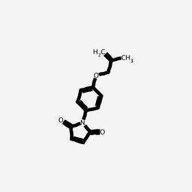 C=C(C)COc1ccc(N2C(=O)C=CC2=O)cc1